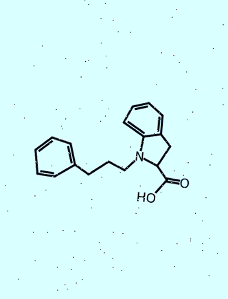 O=C(O)C1Cc2ccccc2N1CCCc1ccccc1